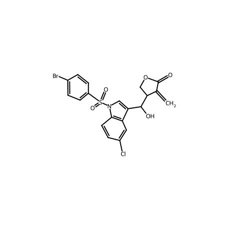 C=C1C(=O)OCC1C(O)c1cn(S(=O)(=O)c2ccc(Br)cc2)c2ccc(Cl)cc12